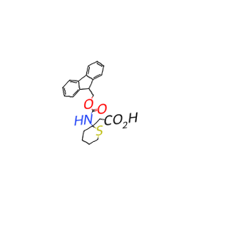 O=C(O)CC1(NC(=O)OCC2c3ccccc3-c3ccccc32)CCCCS1